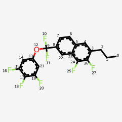 CCCc1cc2ccc(C(F)(F)Oc3cc(F)c(F)c(F)c3)cc2c(F)c1F